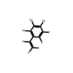 [2H]c1c([2H])c(F)c(F)c(C(F)=C(F)F)c1[2H]